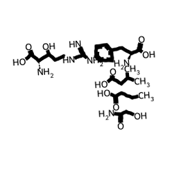 CC(C)CC(=O)O.CCCC(=O)O.N=C(N)NCCC(O)[C@H](N)C(=O)O.NC(=O)CO.N[C@@H](Cc1ccccc1)C(=O)O